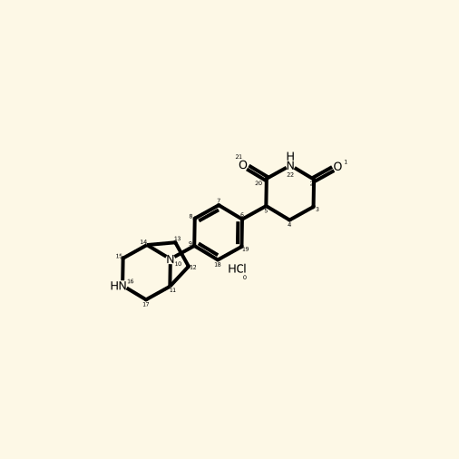 Cl.O=C1CCC(c2ccc(N3C4CCC3CNC4)cc2)C(=O)N1